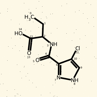 CCC(NC(=O)c1n[nH]cc1Cl)C(=O)O